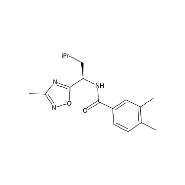 Cc1noc([C@@H](CC(C)C)NC(=O)c2ccc(C)c(C)c2)n1